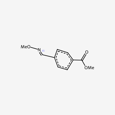 CO/N=C/c1ccc(C(=O)OC)cc1